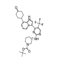 CC(C)(C)OC(=O)N1CCC[C@H](Nc2ncc(C(F)(F)F)c(-c3c[nH]c4c(C5CCC(=O)CC5)cccc34)n2)C1